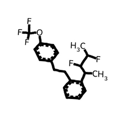 CC(F)C(F)C(C)c1ccccc1CCc1ccc(OC(F)(F)F)cc1